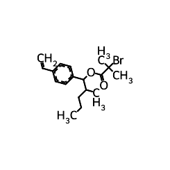 C=Cc1ccc(C(OC(=O)C(C)(C)Br)C(C)CCC)cc1